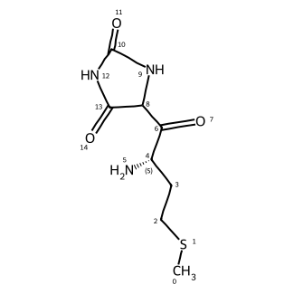 CSCC[C@H](N)C(=O)C1NC(=O)NC1=O